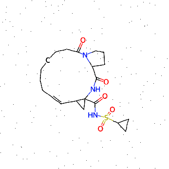 O=C1NC2(C(=O)NS(=O)(=O)C3CC3)CC2C=CCCCCCCC(=O)N2CCCC12